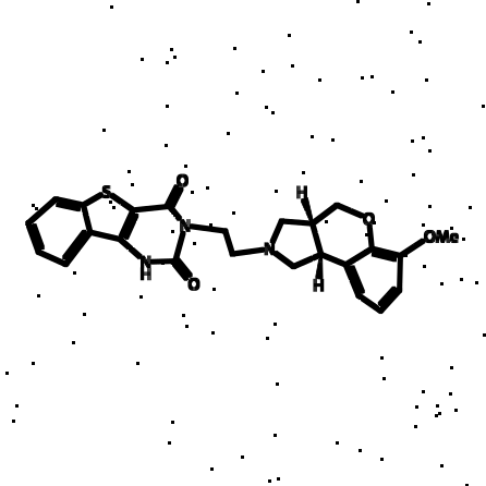 COc1cccc2c1OC[C@H]1CN(CCn3c(=O)[nH]c4c(sc5ccccc54)c3=O)C[C@@H]21